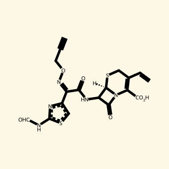 C#CCO/N=C(\C(=O)NC1C(=O)N2C(C(=O)O)=C(C=C)CS[C@H]12)c1csc(NC=O)n1